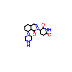 O=C1CCC(N2N=CC3CCCC(N4CCNCC4)C3C2=O)C(=O)N1